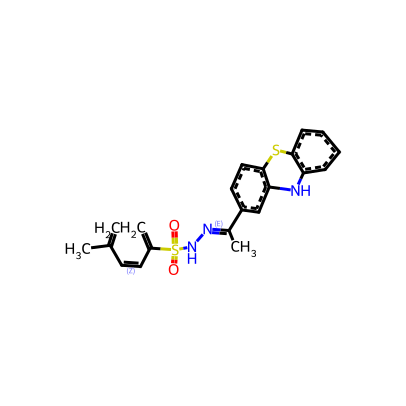 C=C(C)/C=C\C(=C)S(=O)(=O)N/N=C(\C)c1ccc2c(c1)Nc1ccccc1S2